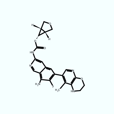 Cc1c(-c2cc3cc(NC(=O)O[C@@H]4[C@@H]5COC[C@@H]54)ncc3c(N)c2F)cnc2c1NCCO2